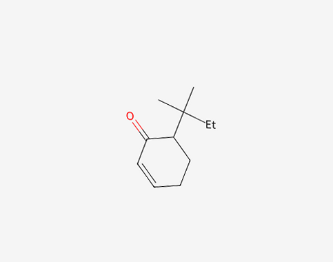 CCC(C)(C)C1CCC=CC1=O